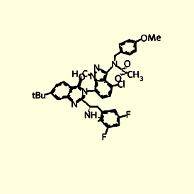 COc1ccc(CN(c2nn(C)c3c(-n4c([C@@H](N)Cc5cc(F)cc(F)c5)nc5cc(C(C)(C)C)ccc5c4=O)ccc(Cl)c23)S(C)(=O)=O)cc1